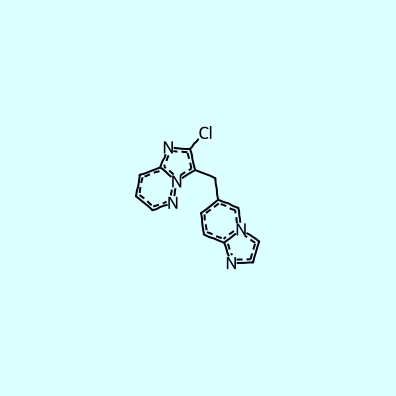 Clc1nc2cccnn2c1Cc1ccc2nccn2c1